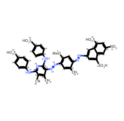 COc1cc(/N=N/c2cc(S(=O)(=O)O)c3cc([N+](=O)[O-])cc(S(=O)(=O)O)c3c2)c(C)cc1/N=N/c1c(Nc2ccc(S(=O)(=O)O)cc2)nc(Nc2ccc(S(=O)(=O)O)cc2)c(C#N)c1C